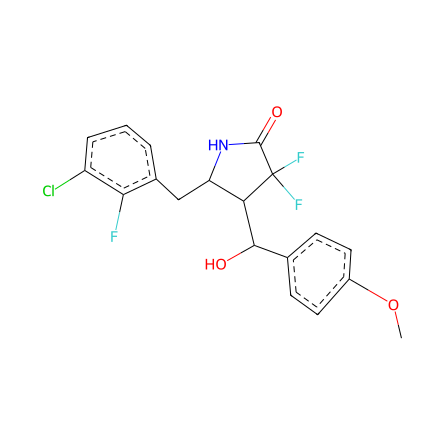 COc1ccc(C(O)C2C(Cc3cccc(Cl)c3F)NC(=O)C2(F)F)cc1